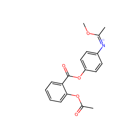 CO/C(C)=N\c1ccc(OC(=O)c2ccccc2OC(C)=O)cc1